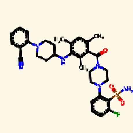 Cc1cc(C)c(C(=O)N2CCN(c3cccc(F)c3S(N)(=O)=O)CC2)c(C)c1NC1CCN(c2ccccc2C#N)CC1